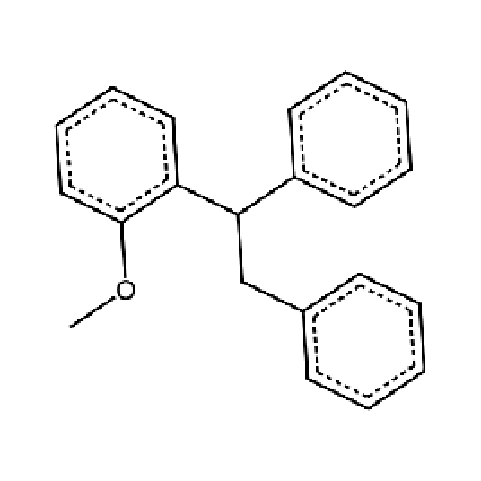 COc1ccccc1C(Cc1ccccc1)c1ccccc1